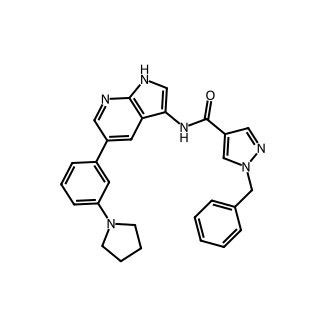 O=C(Nc1c[nH]c2ncc(-c3cccc(N4CCCC4)c3)cc12)c1cnn(Cc2ccccc2)c1